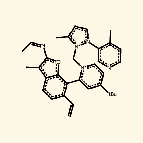 C=Cc1ccc2c(C)c(/N=C\C)oc2c1-c1cc(C(C)(C)C)cc[n+]1C[n+]1c(C)ccn1-c1cnccc1C